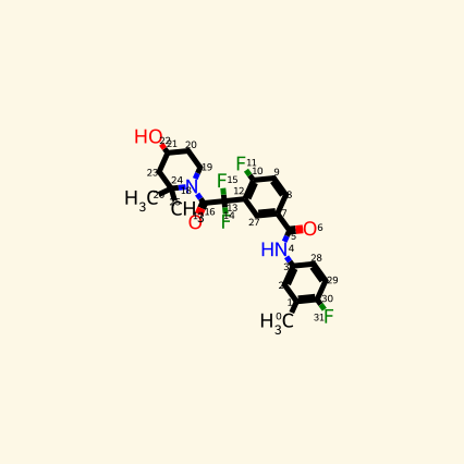 Cc1cc(NC(=O)c2ccc(F)c(C(F)(F)C(=O)N3CCC(O)CC3(C)C)c2)ccc1F